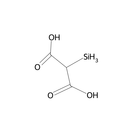 O=C(O)C([SiH3])C(=O)O